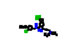 COc1ccc(CNc2nnc(C#CCN(C)C)c3ccc(C#N)cc23)cc1Cl.Cl.Cl